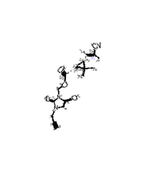 C#CCN1CC(=O)N(COC(=O)[C@@H]2[C@H](/C=C(\C)C#N)C2(C)C)C1=O